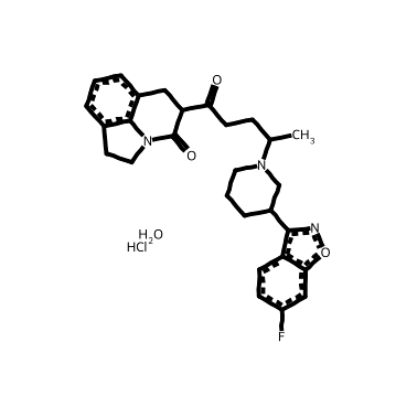 CC(CCC(=O)C1Cc2cccc3c2N(CC3)C1=O)N1CCCC(c2noc3cc(F)ccc23)C1.Cl.O